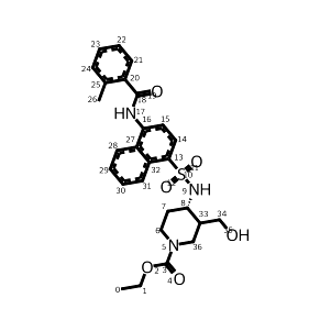 CCOC(=O)N1CC[C@H](NS(=O)(=O)c2ccc(NC(=O)c3ccccc3C)c3ccccc23)C(CO)C1